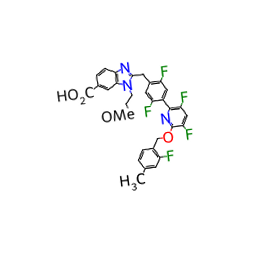 COCCn1c(Cc2cc(F)c(-c3nc(OCc4ccc(C)cc4F)c(F)cc3F)cc2F)nc2ccc(C(=O)O)cc21